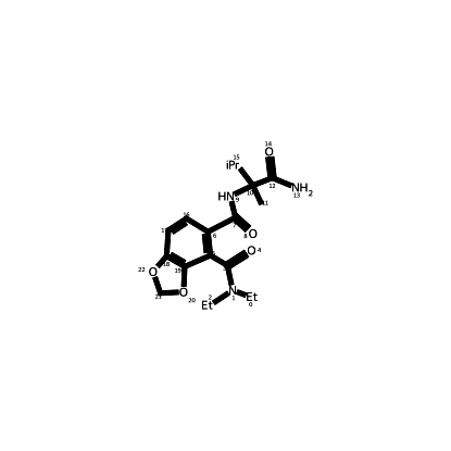 CCN(CC)C(=O)c1c(C(=O)NC(C)(C(N)=O)C(C)C)ccc2c1OCO2